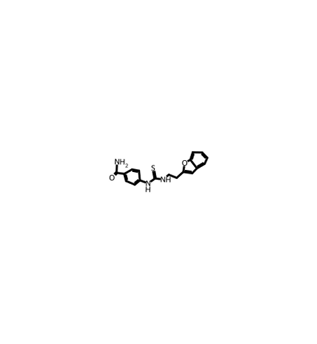 NC(=O)c1ccc(NC(=S)NCCc2cc3ccccc3o2)cc1